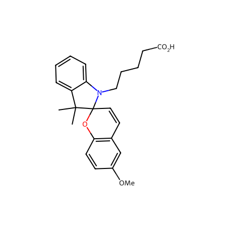 COc1ccc2c(c1)C=CC1(O2)N(CCCCC(=O)O)c2ccccc2C1(C)C